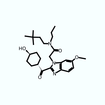 CCCN(CCC(C)(C)C)C(=O)Cn1c(C(=O)[C@H]2CC[C@H](O)CC2)nc2ccc(OC)cc21